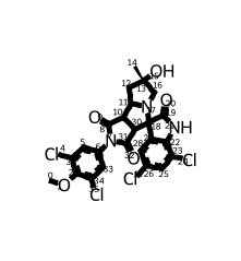 COc1c(Cl)cc(N2C(=O)C3C4C[C@](C)(O)CN4C4(C(=O)Nc5c(Cl)cc(Cl)cc54)C3C2=O)cc1Cl